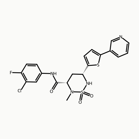 CN1[C@H](C(=O)Nc2ccc(F)c(Cl)c2)C[C@H](c2ccc(-c3cccnc3)s2)NS1(=O)=O